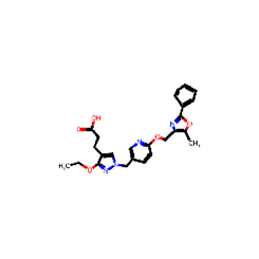 CCOc1nn(Cc2ccc(OCc3nc(-c4ccccc4)oc3C)nc2)cc1CCC(=O)O